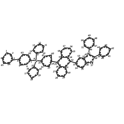 c1ccc(-c2ccc(S(c3ccccc3)(c3ccccc3)c3ccc(-c4c5ccccc5c(-c5ccc6nc(-c7ccccc7)n(-c7ccccc7)c6c5)c5ccccc45)cc3)cc2)cc1